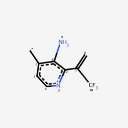 C=C(c1nccc(C)c1N)C(F)(F)F